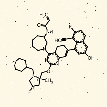 C#Cc1c(F)ccc2cc(O)cc(C3=Cc4nc(OC[C@]5(C)C[C@@H](F)CN5CC5CCOCC5)nc(N5CCCCC(NC(=O)C=C)C5)c4CC3)c12